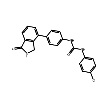 O=C(Nc1ccc(Cl)cc1)Nc1ccc(-c2cccc3c2CNC3=O)cc1